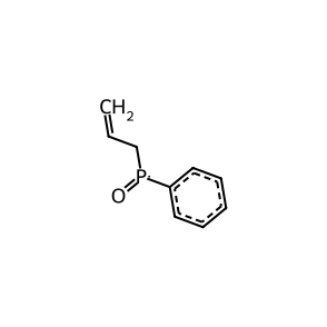 C=CC[P](=O)c1ccccc1